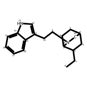 CCC1CC2CCC1N(CCc1c[nH]c3ccccc13)C2